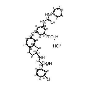 Cl.O=C(Nc1ccccc1)Nc1cc(Oc2ccc3c(c2)C[C@@H](NC[C@@H](O)c2cccc(Cl)c2)CC3)cc(C(=O)O)c1